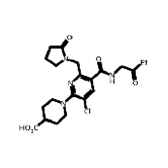 CCC(=O)CNC(=O)c1cc(Cl)c(N2CCC(C(=O)O)CC2)nc1CN1CCCC1=O